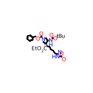 CCOC(=O)C(CCCCc1noc(=O)[nH]1)[C@H]1CN(C(=O)OCc2ccccc2)C[C@@H]1NC(=O)OC(C)(C)C